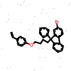 C=Cc1ccc(OCCCCC2(c3ccccc3)c3ccccc3-c3ccc(Br)cc32)cc1